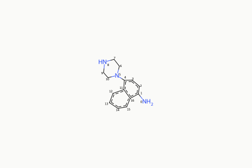 Nc1ccc(N2CCNCC2)c2ccccc12